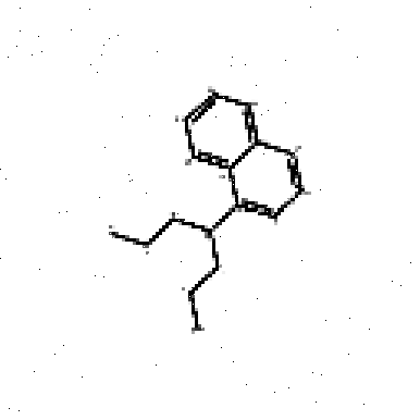 [CH2]CCC(CCC)c1cccc2ccccc12